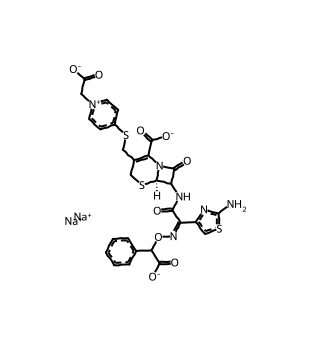 Nc1nc(/C(=N/OC(C(=O)[O-])c2ccccc2)C(=O)NC2C(=O)N3C(C(=O)[O-])=C(CSc4cc[n+](CC(=O)[O-])cc4)CS[C@H]23)cs1.[Na+].[Na+]